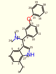 CCc1cccc2c(C(c3cccc(Oc4ccccc4)c3)N(C)C)c[nH]c12